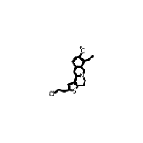 CCc1c(OC)ccc2c1CN1CCc3sc(CCCl)cc3C1C2